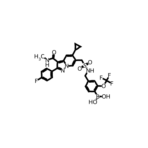 CNC(=O)c1c(-c2ccc(F)cc2)nn2cc(CS(=O)(=O)NCc3ccc(B(O)O)c(OC(F)(F)F)c3)c(C3CC3)cc12